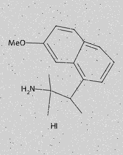 COc1ccc2cccc(C(C)C(C)(C)N)c2c1.I